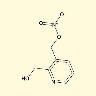 O=[N+]([O-])OCc1cccnc1CO